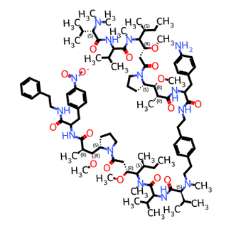 CC[C@H](C)C([C@@H](CC(=O)N1CCC[C@H]1[C@H](OC)[C@@H](C)C(=O)NC(Cc1ccc(N)cc1)C(=O)NCCc1ccc(CCN(C)[C@H](C(=O)NC(C(=O)N(C)C([C@@H](C)CC)[C@@H](CC(=O)N2CCC[C@H]2[C@H](OC)[C@@H](C)C(=O)NC(Cc2ccc([N+](=O)[O-])cc2)C(=O)NCCc2ccccc2)OC)C(C)C)C(C)C)cc1)OC)N(C)C(=O)C(NC(=O)[C@H](C(C)C)N(C)C)C(C)C